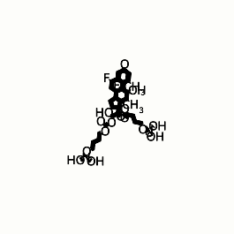 C[C@]12C=CC(=O)C=C1[C@@H](F)CC1C3C[C@@H](O)[C@](OC(=O)CCCON(O)O)(C(=O)COC(=O)OCCCCON(O)O)[C@@]3(C)C[C@H](O)[C@@]12F